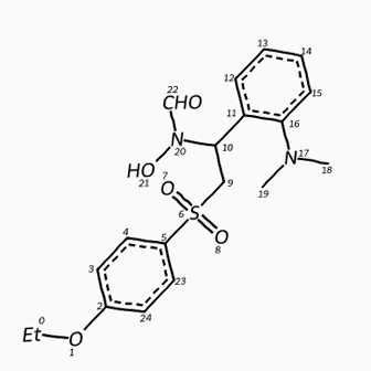 CCOc1ccc(S(=O)(=O)CC(c2ccccc2N(C)C)N(O)C=O)cc1